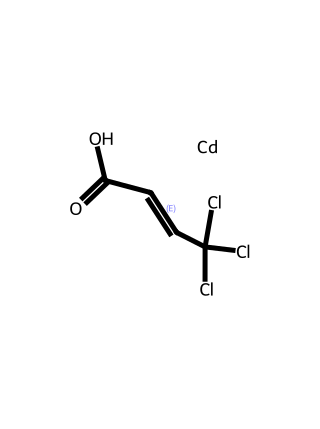 O=C(O)/C=C/C(Cl)(Cl)Cl.[Cd]